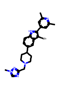 Cc1cc(-c2[nH]c3ccc(C4CCN(Cc5ncn(C)n5)CC4)cc3c2C(C)C)cc(C)n1